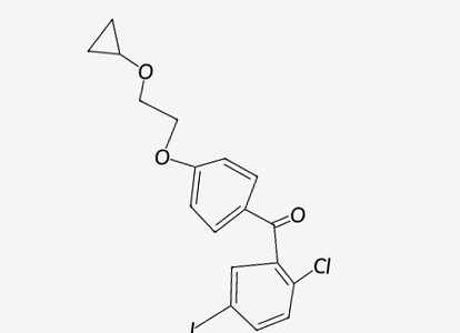 O=C(c1ccc(OCCOC2CC2)cc1)c1cc(I)ccc1Cl